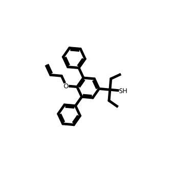 C=CCOc1c(-c2ccccc2)cc(C(S)(CC)CC)cc1-c1ccccc1